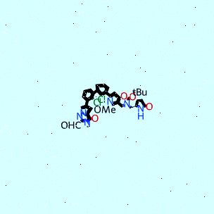 COc1nc(-c2cccc(-c3cccc(-c4cc5c(=O)n(C)c(C=O)nn5c4)c3Cl)c2Cl)ccc1CN(C[C@@H]1CCC(=O)N1)C(=O)OC(C)(C)C